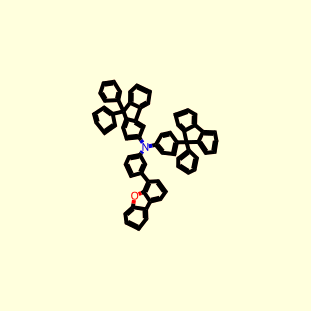 c1ccc(C2(c3ccc(N(c4cccc(-c5cccc6c5oc5ccccc56)c4)c4ccc5c(c4)-c4ccccc4C5(c4ccccc4)c4ccccc4)cc3)c3ccccc3-c3ccccc32)cc1